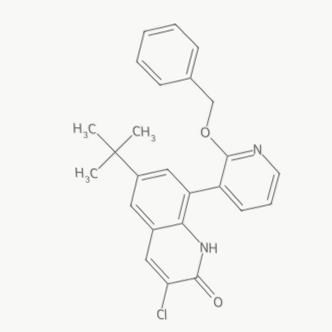 CC(C)(C)c1cc(-c2cccnc2OCc2ccccc2)c2[nH]c(=O)c(Cl)cc2c1